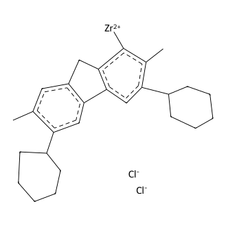 Cc1cc2c(cc1C1CCCCC1)-c1cc(C3CCCCC3)c(C)[c]([Zr+2])c1C2.[Cl-].[Cl-]